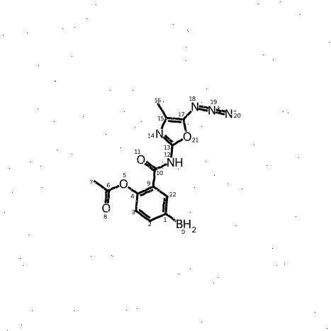 Bc1ccc(OC(C)=O)c(C(=O)Nc2nc(C)c(N=[N+]=[N-])o2)c1